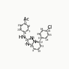 CC(=O)c1ccc(Nc2nc3cccc(-c4ccc(Cl)cc4)n3n2)cc1